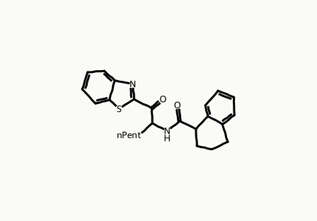 CCCCCC(NC(=O)C1CCCc2ccccc21)C(=O)c1nc2ccccc2s1